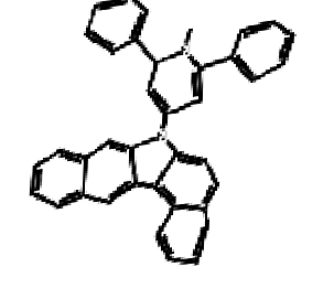 CN1C(c2ccccc2)=CC(n2c3cc4ccccc4cc3c3c4ccccc4ccc32)=CC1c1ccccc1